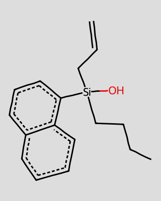 C=CC[Si](O)(CCCC)c1cccc2ccccc12